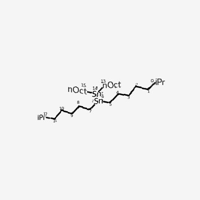 CC(C)CCCC[CH2][Sn][CH2]CCCCC(C)C.CCCCCCC[CH2][Sn][CH2]CCCCCCC